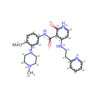 COc1ccc(NC(=O)c2c(NCCc3ccccn3)cc[nH]c2=O)cc1N1CCN(C)CC1